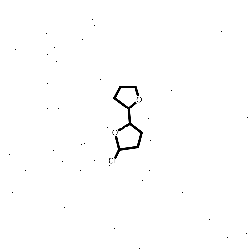 ClC1CCC(C2CCCO2)O1